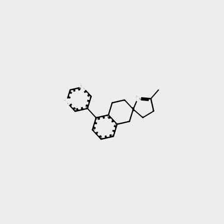 CC1=NC2(CC1)CCc1c(cccc1-c1cncnc1)C2